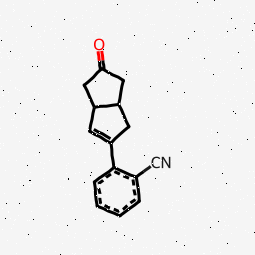 N#Cc1ccccc1C1=CC2CC(=O)CC2C1